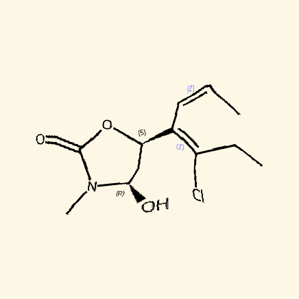 C/C=C\C(=C(\Cl)CC)[C@@H]1OC(=O)N(C)[C@@H]1O